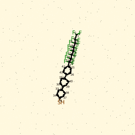 FC(F)C(F)(F)C(F)(F)C(F)(F)C(F)(F)C(F)(F)C(F)(F)C(F)(F)c1ccc(-c2ccc(-c3ccc(S)cc3)cc2)cc1